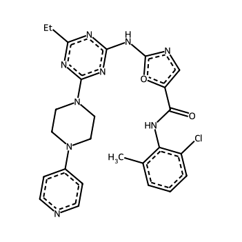 CCc1nc(Nc2ncc(C(=O)Nc3c(C)cccc3Cl)o2)nc(N2CCN(c3ccncc3)CC2)n1